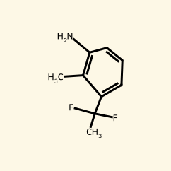 Cc1c(N)cccc1C(C)(F)F